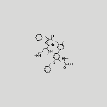 CNCCC[C@H](NC)C(=O)N[C@@H](Cc1cc(-c2ccc(OCc3ccccc3)c(C[C@H](NC)C(=O)O)c2)ccc1C)C(=O)OCc1ccccc1